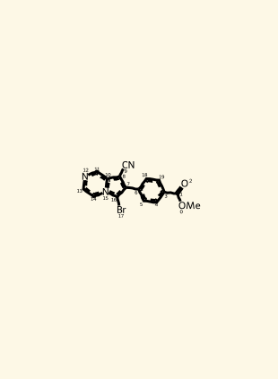 COC(=O)c1ccc(-c2c(C#N)c3cnccn3c2Br)cc1